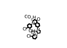 O=C(O)c1cn(-c2ccc(Cl)c(O)c2)c2cc(N3CCC[C@@H]3COc3ncccc3Cl)ccc2c1=O